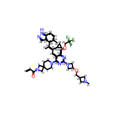 C=CC(=O)N1CC2(CCN(c3nc(N4CC(OCC5CN(C)C5)C4)nc(=C\OCC(F)(F)F)/c3=C\C(=C(/C)c3c(C)ccc4[nH]ncc34)C3CC3)CC2)C1